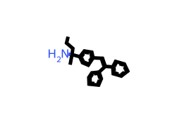 CCCC(C)(N)c1ccc(C=C(c2ccccc2)c2ccccc2)cc1